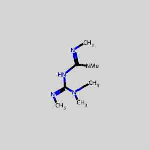 C/N=C(/N/C(=N/C)NC)N(C)C